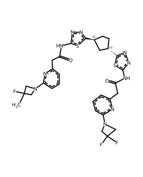 CC1(F)CN(c2cccc(CC(=O)Nc3nnc([C@H]4CC[C@H](c5nnc(NC(=O)Cc6cccc(N7CC(F)(F)C7)n6)s5)C4)s3)n2)C1